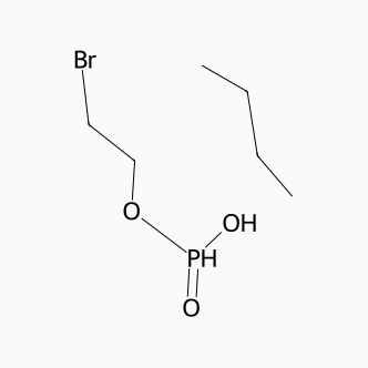 CCCC.O=[PH](O)OCCBr